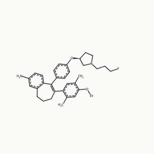 CCOc1cc(C)c(C2=C(c3ccc(O[C@H]4CCN(CCCF)C4)cc3)c3ccc(N)cc3CCC2)cc1C